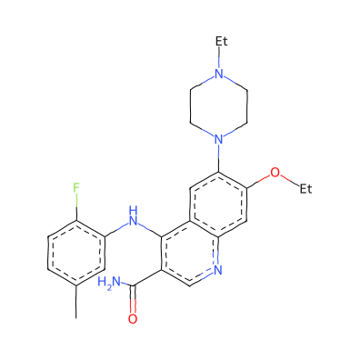 CCOc1cc2ncc(C(N)=O)c(Nc3cc(C)ccc3F)c2cc1N1CCN(CC)CC1